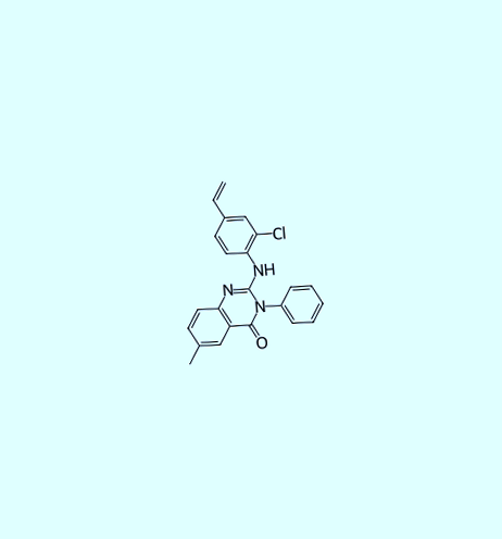 C=Cc1ccc(Nc2nc3ccc(C)cc3c(=O)n2-c2ccccc2)c(Cl)c1